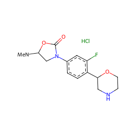 CNC1CN(c2ccc(C3CNCCO3)c(F)c2)C(=O)O1.Cl